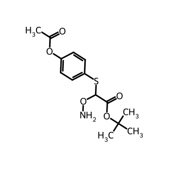 CC(=O)Oc1ccc(SC(ON)C(=O)OC(C)(C)C)cc1